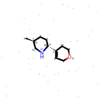 C[C@H]1CC[C@H](C2=CCOCC2)NC1